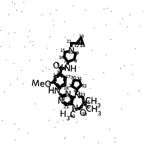 COc1cc(C(=O)NC2CCN(CC3CC3)CC2)ccc1Nc1ncc2c(n1)N(C1CCCC1)CC(C)(C)C(=O)N2C